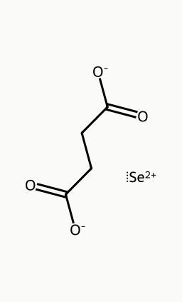 O=C([O-])CCC(=O)[O-].[Se+2]